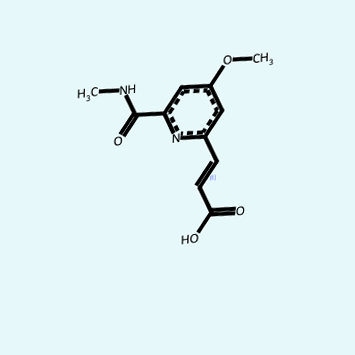 CNC(=O)c1cc(OC)cc(/C=C/C(=O)O)n1